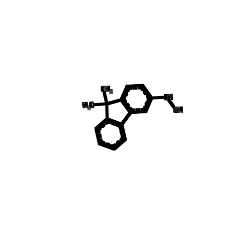 CC1(C)c2ccccc2-c2cc(BO)ccc21